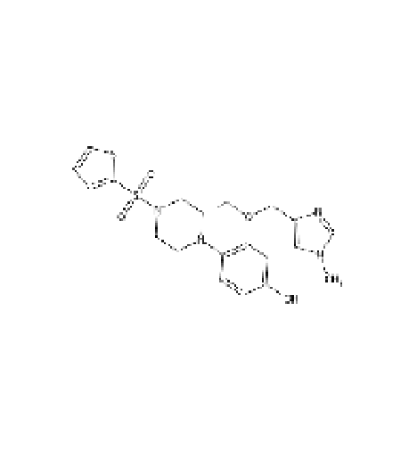 Cn1cnc(COC[C@H]2CN(S(=O)(=O)c3cccs3)CCN2c2ccc(O)cc2)c1